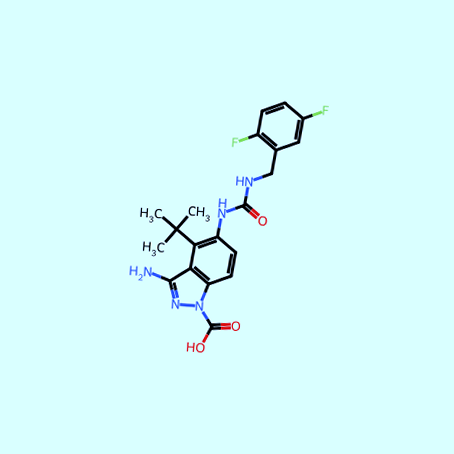 CC(C)(C)c1c(NC(=O)NCc2cc(F)ccc2F)ccc2c1c(N)nn2C(=O)O